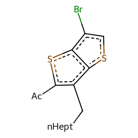 CCCCCCCCc1c(C(C)=O)sc2c(Br)csc12